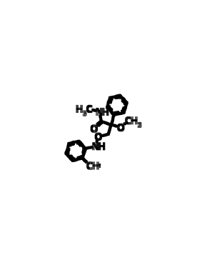 [CH]c1ccccc1NOCC(OC)(C(=O)NC)c1ccccc1